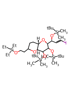 CC[Si](CC)(CC)OCCC1CC[C@@H]2O[C@@H]([C@H](/C=C/I)O[Si](C)(C)C(C)(C)C)C(O[Si](C)(C)C(C)(C)C)C(O[Si](C)(C)C(C)(C)C)[C@H]2O1